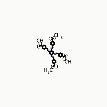 CCOC(=O)c1ccc(/C=C/c2cc(/C=C/c3ccc(C(=O)OCC)cc3)c(/C=C/c3ccc(C(=O)OCC)cc3)cc2/C=C/c2ccc(C(=O)OCC)cc2)cc1